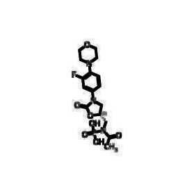 CC(=O)N(C[C@H]1CN(c2ccc(N3CCOCC3)c(F)c2)C(=O)O1)P(=O)(O)O